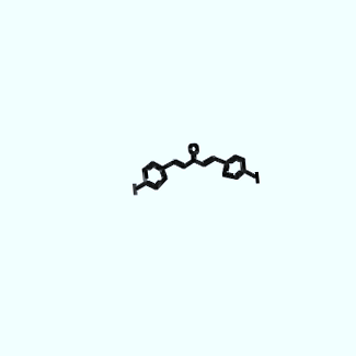 O=C(/C=C/c1ccc(I)cc1)/C=C/c1ccc(I)cc1